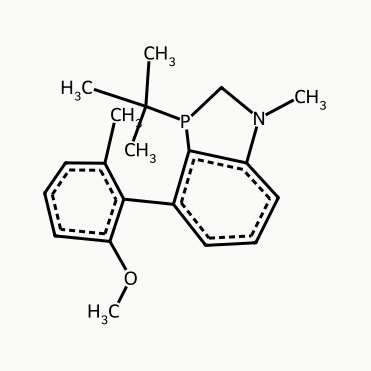 COc1cccc(C)c1-c1cccc2c1P(C(C)(C)C)CN2C